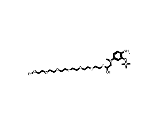 CCOCCOCCOCCOCCOCCOCCOC(O)CN(C)c1ccc(N)c(O[Si](C)(C)C)c1